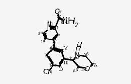 NC(=O)c1cc(-c2cc(Cl)cc(C3COCCN3)c2)ccn1